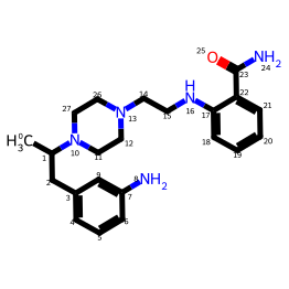 CC(Cc1cccc(N)c1)N1CCN(CCNc2ccccc2C(N)=O)CC1